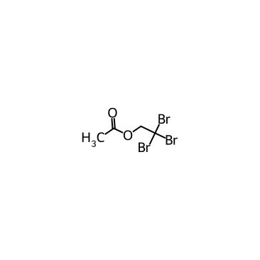 CC(=O)OCC(Br)(Br)Br